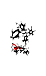 CC(P(C(F)(F)C(F)(F)F)C(F)(F)C(F)(F)F)P(C(F)(F)C(F)(F)F)C(F)(F)C(F)(F)F.Fc1c(F)c(F)c(P(CCP(c2c(F)c(F)c(F)c(F)c2F)c2c(F)c(F)c(F)c(F)c2F)c2c(F)c(F)c(F)c(F)c2F)c(F)c1F